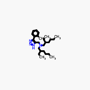 CCCCC(CC)CN(Cc1[nH]nnc1-c1ccccc1C)CC(CC)CCCC